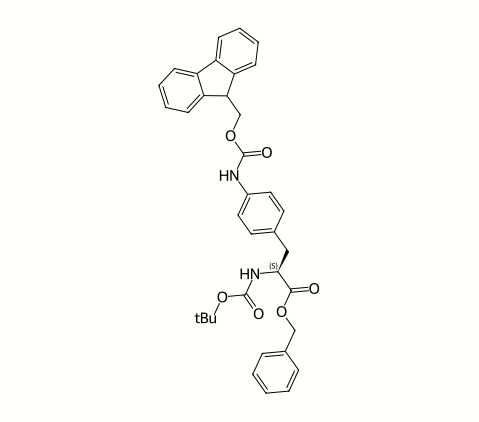 CC(C)(C)OC(=O)N[C@@H](Cc1ccc(NC(=O)OCC2c3ccccc3-c3ccccc32)cc1)C(=O)OCc1ccccc1